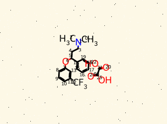 CN(C)CCC(Oc1cccc(C(F)(F)F)c1)c1ccccc1.O=C(O)C(=O)O